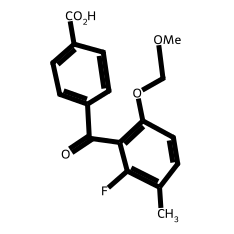 COCOc1ccc(C)c(F)c1C(=O)c1ccc(C(=O)O)cc1